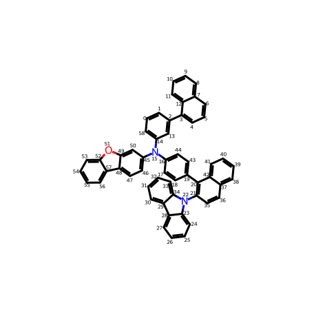 c1cc(-c2cccc3ccccc23)cc(N(c2ccc(-c3c(-n4c5ccccc5c5ccccc54)ccc4ccccc34)cc2)c2ccc3c(c2)oc2ccccc23)c1